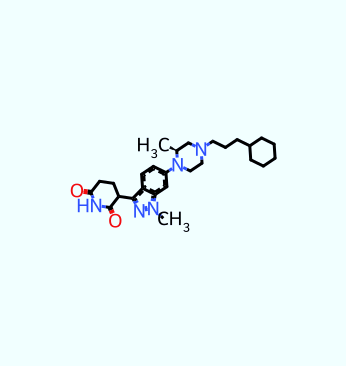 C[C@H]1CN(CCCC2CCCCC2)CCN1c1ccc2c(C3CCC(=O)NC3=O)nn(C)c2c1